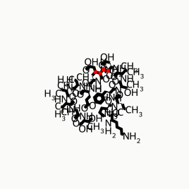 CC(C)C[C@H](NC(=O)[C@@H]1CCCN1C(=O)[C@@H](N)CCCCN)C(=O)N[C@@H](Cc1ccccc1)C(=O)N[C@H](C(=O)N[C@H](C(=O)N[C@@H](CC(=O)O)C(=O)N[C@@H](CCC(=O)O)C(=O)N[C@@H](CCCCN)C(=O)N[C@@H](CCC(=O)O)C(=O)N[C@H](C(=O)N[C@H](C(=O)N[C@H](C(=O)NCC(=O)N[C@H](C(=O)O)[C@@H](C)O)C(C)C)C(C)C)C(C)C)C(C)C)[C@@H](C)O